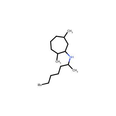 CCC(C)CCCCC(C)NC1CC(C)CCCC1C